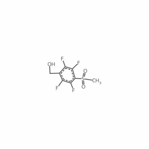 CS(=O)(=O)c1c(F)c(F)c(CO)c(F)c1F